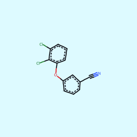 N#Cc1cc[c]c(Oc2cccc(Cl)c2Cl)c1